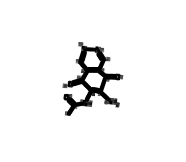 CC(=O)NC1=C(N)C(=O)c2cnncc2C1=O